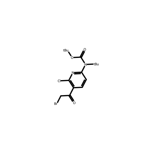 CC(C)(C)OC(=O)N(c1ccc(C(=O)CBr)c(Cl)n1)C(C)(C)C